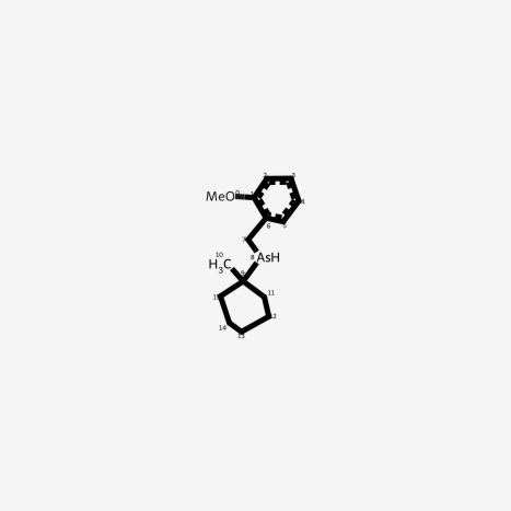 COc1ccccc1C[AsH]C1(C)CCCCC1